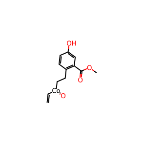 C=[CH][Co](=[O])[CH2]Cc1ccc(O)cc1C(=O)OC